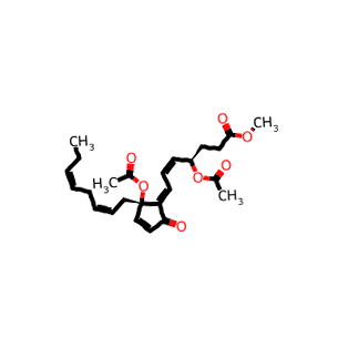 CC/C=C\C/C=C\C[C@]1(OC(C)=O)C=CC(=O)/C1=C/C=C\[C@@H](CCC(=O)OC)OC(C)=O